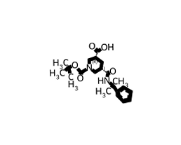 CC(C)(C)OC(=O)N1C[C@H](C(=O)O)C[C@H](C(=O)NC(C)(C)c2ccccc2)C1